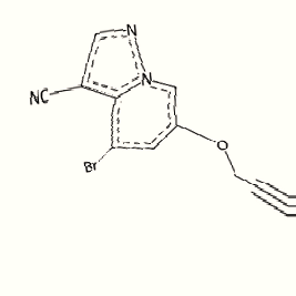 C#CCOc1cc(Br)c2c(C#N)cnn2c1